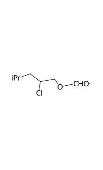 CC(C)CC(Cl)CO[C]=O